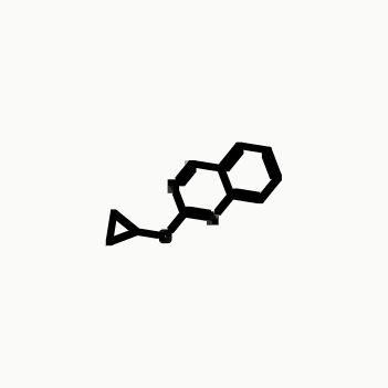 [c]1nc(OC2CC2)nc2ccccc12